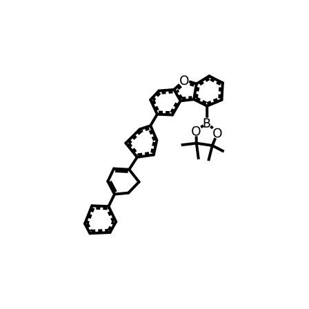 CC1(C)OB(c2cccc3oc4ccc(-c5ccc(C6=CC=C(c7ccccc7)CC6)cc5)cc4c23)OC1(C)C